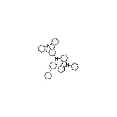 c1ccc(-c2ccc(N(c3cc4c5ccccc5n5c6ccccc6c(c3)c45)c3cccc4c3c3ccccc3n4-c3ccccc3)cc2)cc1